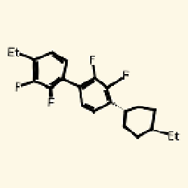 CCc1ccc(-c2ccc([C@H]3CC[C@H](CC)CC3)c(F)c2F)c(F)c1F